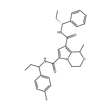 CCC(NC(=O)c1cc(C(=O)N[C@H](CC)c2ccccc2)c2n1CCOC2C)c1ccc(F)cc1